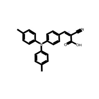 Cc1ccc(N(c2ccc(C)cc2)c2ccc(/C=C(/C#N)C(=O)O)cc2)cc1